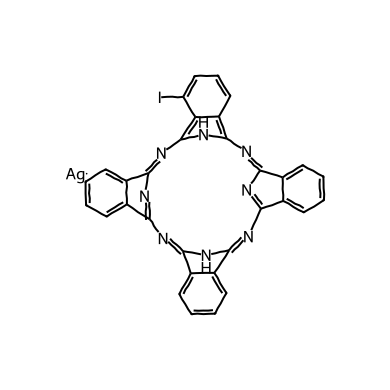 Ic1cccc2c3nc4nc(nc5[nH]c(nc6nc(nc([nH]3)c12)-c1ccccc1-6)c1ccccc51)-c1ccccc1-4.[Ag]